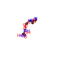 O=C(NC(c1ccccc1)c1cccc(OCc2ccc(C(=O)OCCOCCNC[C@H](O)c3ccc(O)c4[nH]c(=O)ccc34)cc2)c1)O[C@H]1CN2CCC1CC2